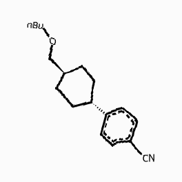 CCCCOC[C@H]1CC[C@H](c2ccc(C#N)cc2)CC1